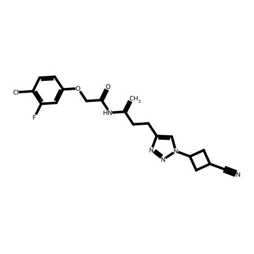 C=C(CCc1cn(C2CC(C#N)C2)nn1)NC(=O)COc1ccc(Cl)c(F)c1